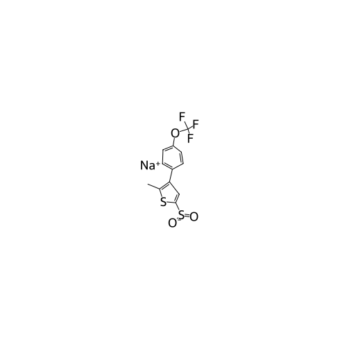 Cc1sc(S(=O)[O-])cc1-c1ccc(OC(F)(F)F)cc1.[Na+]